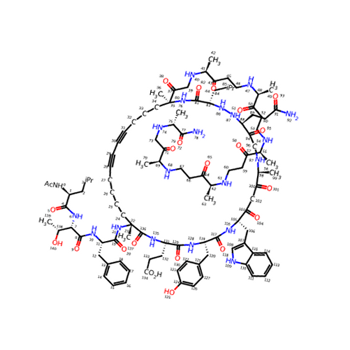 CC(=O)N[C@@H](CC(C)C)C(=O)N[C@H](C(=O)N[C@@H](Cc1ccccc1)C(=O)N[C@]1(C)CCCCC#CC#CCCC[C@@](C)(C(=O)CN[C@@H](C)C(=O)CCN[C@@H](C)C(=O)CCN[C@@H](C)C(=O)CCN[C@@H](C)C(=O)CCN[C@@H](C)C(=O)CN[C@H](C)C(N)=O)NC(=O)[C@H](CC(C)C)NN[C@@H](CCC(N)=O)C(=O)CN[C@@H](C)C(=O)CC(=O)[C@H](Cc2c[nH]c3ccccc23)NC(=O)[C@H](Cc2ccc(O)cc2)NC(=O)[C@H](CCC(=O)O)NC1=O)[C@@H](C)O